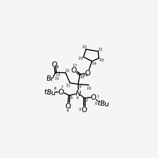 CC(C)(C)OC(=O)N(C(=O)OC(C)(C)C)C(C)(CCC(=O)Br)C(=O)OC1CCCC1